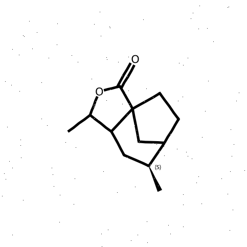 CC1OC(=O)C23CCC(C2)[C@@H](C)CC13